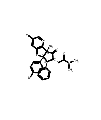 CN(C)C(=O)C[C@H]1C(=O)[C@@]2(O)c3ncc(Cl)cc3O[C@@]2(c2ccc(Br)cc2)[C@@H]1c1ccccc1